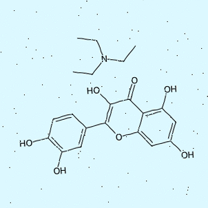 CCN(CC)CC.O=c1c(O)c(-c2ccc(O)c(O)c2)oc2cc(O)cc(O)c12